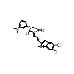 CO/C(=C\C=C\c1cc2cc(Cl)c(Cl)cc2[nH]1)C(=O)Nc1cccc(N(C)C)c1